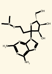 CN(C)OCCC1(n2cnc3c(N)nc(N)nc32)O[C@H](CO)[C@@H](O)[C@H]1O